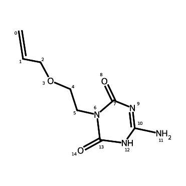 C=CCOCCn1c(=O)nc(N)[nH]c1=O